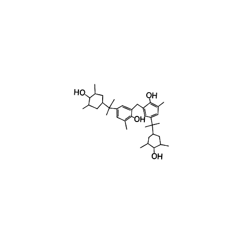 Cc1cc(C(C)(C)C2CC(C)C(O)C(C)C2)cc(Cc2cc(C(C)(C)C3CC(C)C(O)C(C)C3)cc(C)c2O)c1O